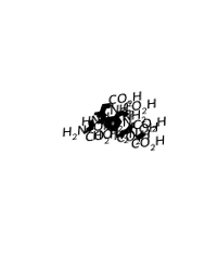 CC(O)C(N)C(=O)O.NC(CCC(=O)O)C(=O)O.NC(CO)C(=O)O.NC(Cc1c[nH]cn1)C(=O)O.NC(Cc1ccc(O)cc1)C(=O)O